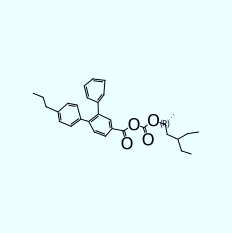 CCCc1ccc(-c2ccc(C(=O)OC(=O)O[C@H](C)CC(CC)CC)cc2-c2ccccc2)cc1